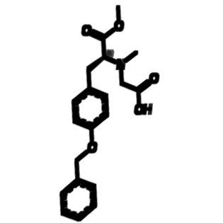 COC(=O)[C@H](Cc1ccc(OCc2ccccc2)cc1)N(C)CC(=O)O